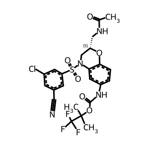 CC(=O)NC[C@H]1CN(S(=O)(=O)c2cc(Cl)cc(C#N)c2)c2cc(NC(=O)OC(C)(C)C(F)(F)F)ccc2O1